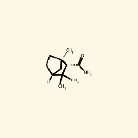 CC1(C)[C@@H]2CC[C@](C)(C2)[C@@H]1C(N)=O